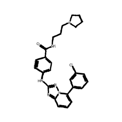 O=C(NCCCN1CCCC1)c1ccc(Nc2nc3cccc(-c4cccc(Cl)c4)n3n2)cc1